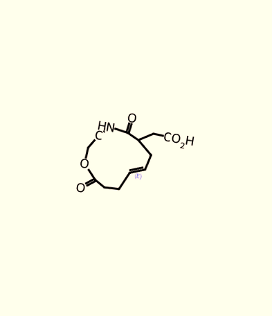 O=C(O)CC1C/C=C/CCC(=O)OCCNC1=O